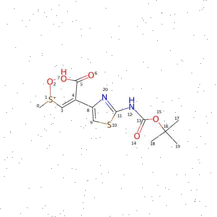 C[S+]([O-])C=C(C(=O)O)c1csc(NC(=O)OC(C)(C)C)n1